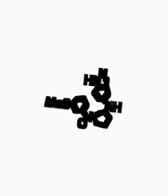 CSc1cccc(C(=O)N2CCCC(Nc3ccc4[nH]ncc4c3)C2)c1